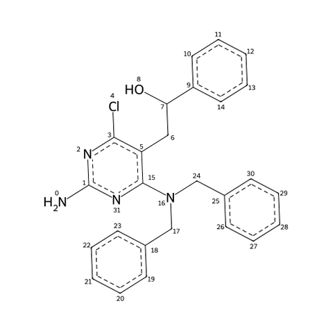 Nc1nc(Cl)c(CC(O)c2ccccc2)c(N(Cc2ccccc2)Cc2ccccc2)n1